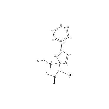 CCNS1(C(O)C(C)C)C=CC(c2ccccc2)=C1